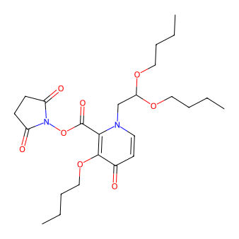 CCCCOc1c(C(=O)ON2C(=O)CCC2=O)n(CC(OCCCC)OCCCC)ccc1=O